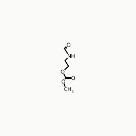 COC(=O)OCCNC=O